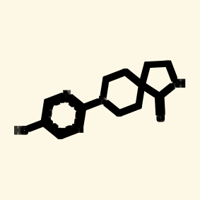 O=C1NCCC12CCN(c1ncc(O)cn1)CC2